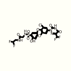 O=C(CNS(=O)(=O)c1cc(Oc2c(Cl)cc(-n3nc(C(F)F)c(=O)[nH]c3=O)cc2Cl)ccc1O)NCC(F)F